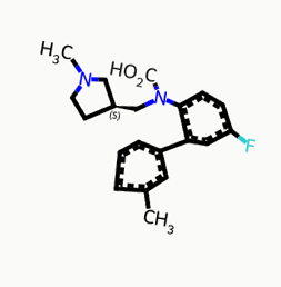 Cc1cccc(-c2cc(F)ccc2N(C[C@H]2CCN(C)C2)C(=O)O)c1